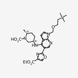 CCOC(=O)c1coc(-c2cnc3c(ccn3COCC[Si](C)(C)C)c2N[C@@H]2CC[C@H](C)N(C(=O)O)C2)n1